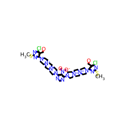 CSc1nc(Cl)c(C=O)c(N2CC[N+]3(CC2)CC[N+]2(CCN(c4ncnc(N5CC[N+]6(CC5)CC[N+]5(CCN(c7nc(SC)nc(Cl)c7C=O)CC5)CC6)c4[N+](=O)[O-])CC2)CC3)n1